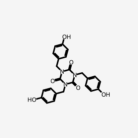 O=c1n(Cc2ccc(O)cc2)c(=O)n(Cc2ccc(O)cc2)c(=O)n1Cc1ccc(O)cc1